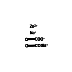 O=C([O-])[O-].O=C([O-])[O-].[Na+].[Na+].[Zn+2]